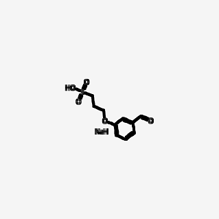 O=Cc1cccc(OCCCS(=O)(=O)O)c1.[NaH]